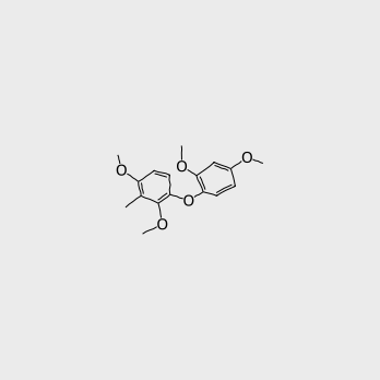 COc1ccc(Oc2ccc(OC)c(C)c2OC)c(OC)c1